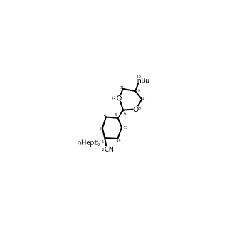 CCCCCCC[C@]1(C#N)CC[C@@H](C2OCC(CCCC)CO2)CC1